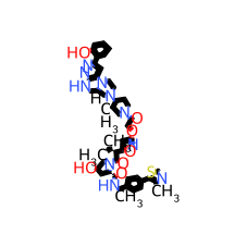 Cc1ncsc1-c1ccc([C@H](C)NC(=O)[C@@H]2C[C@@H](O)CN2C(=O)[C@@H](c2cc(OCC(=O)N3CC[C@@H](N4CCN5c6cc(-c7ccccc7O)nnc6NC[C@@H]5C4)[C@H](C)C3)no2)C(C)C)cc1